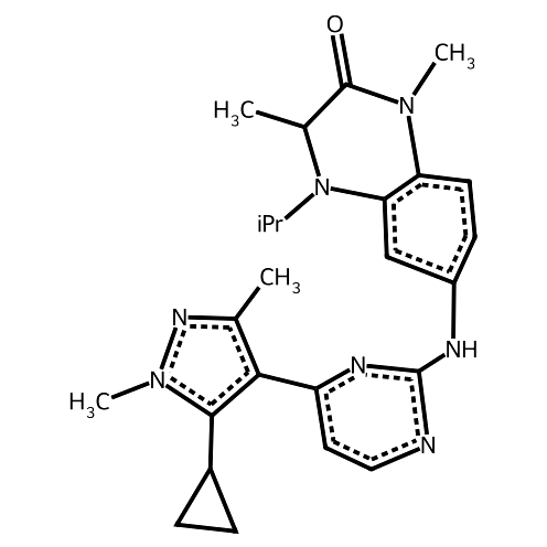 Cc1nn(C)c(C2CC2)c1-c1ccnc(Nc2ccc3c(c2)N(C(C)C)C(C)C(=O)N3C)n1